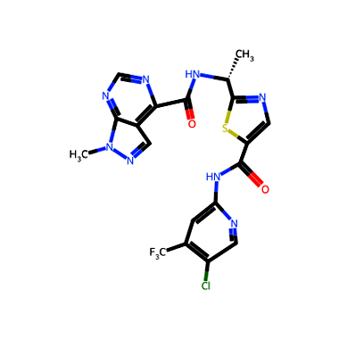 C[C@@H](NC(=O)c1ncnc2c1cnn2C)c1ncc(C(=O)Nc2cc(C(F)(F)F)c(Cl)cn2)s1